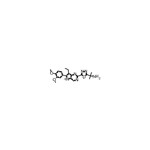 CCc1c(-c2ccc(OC)c(OC)c2)[nH]c2cnc(-c3nnc(C(C)(C)N)o3)nc12